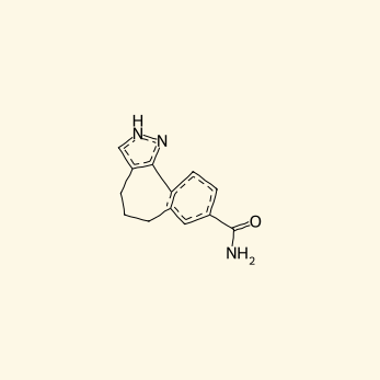 NC(=O)c1ccc2c(c1)CCCc1c[nH]nc1-2